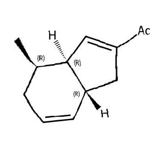 CC(=O)C1=C[C@@H]2[C@H](C)CC=C[C@H]2C1